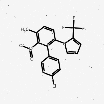 Cc1ccc(-n2cccc2C(F)(F)F)c(-c2ccc(Cl)cc2)c1[N+](=O)[O-]